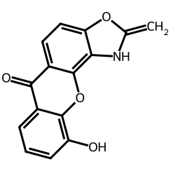 C=C1Nc2c(ccc3c(=O)c4cccc(O)c4oc23)O1